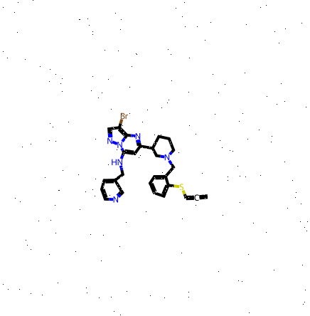 C=C=CSc1ccccc1CN1CCCC(c2cc(NCc3cccnc3)n3ncc(Br)c3n2)C1